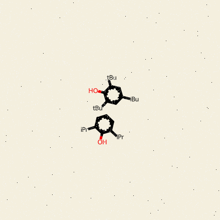 CC(C)c1cccc(C(C)C)c1O.CCC(C)c1cc(C(C)(C)C)c(O)c(C(C)(C)C)c1